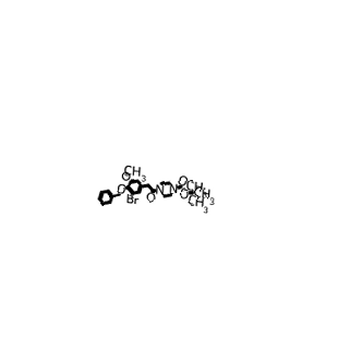 COc1cc(CC(=O)N2CCN(C(=O)OC(C)(C)C)CC2)cc(Br)c1OCc1ccccc1